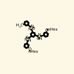 CCCCCCOc1cccc(-c2noc(-c3cc(-c4nc(-c5cccc(C)c5)no4)cc(-c4nc(-c5cccc(OCCCCCC)c5)no4)c3)n2)c1